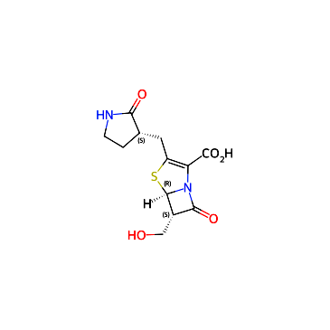 O=C(O)C1=C(C[C@@H]2CCNC2=O)S[C@@H]2[C@@H](CO)C(=O)N12